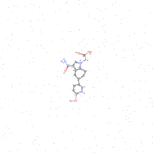 COc1ccc(-c2ccc3c(c2)c(C(N)=O)cn3CC(=O)O)cn1